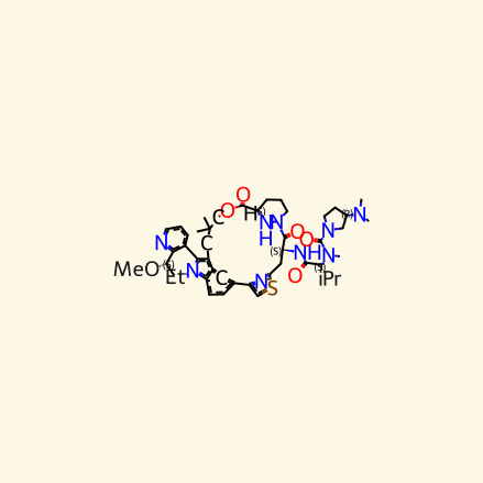 CCn1c(-c2cccnc2[C@H](C)OC)c2c3cc(ccc31)-c1csc(n1)C[C@H](NC(=O)[C@H](C(C)C)N(C)C(=O)N1CC[C@@H](N(C)C)C1)C(=O)N1CCC[C@H](N1)C(=O)OCC(C)(C)C2